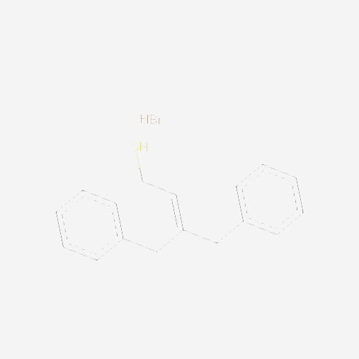 Br.SCC=C(Cc1ccccc1)Cc1ccccc1